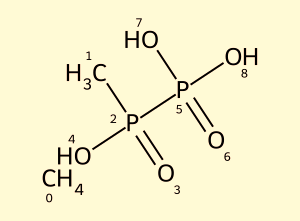 C.CP(=O)(O)P(=O)(O)O